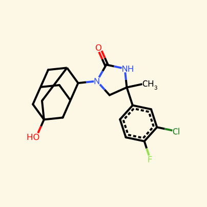 CC1(c2ccc(F)c(Cl)c2)CN(C2C3CC4CC2CC(O)(C4)C3)C(=O)N1